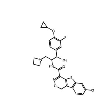 O=C(NC(CN1CCC1)C(O)c1ccc(OC2CC2)c(F)c1)C1=NOCc2c1sc1cc(Cl)ccc21